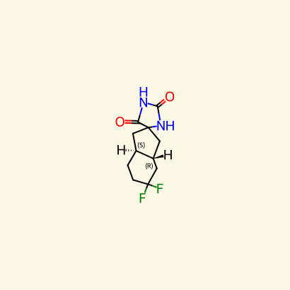 O=C1NC(=O)C2(C[C@@H]3CCC(F)(F)C[C@H]3C2)N1